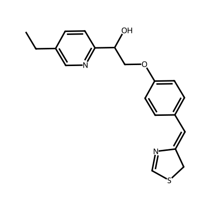 CCc1ccc(C(O)COc2ccc(C=C3CSC=N3)cc2)nc1